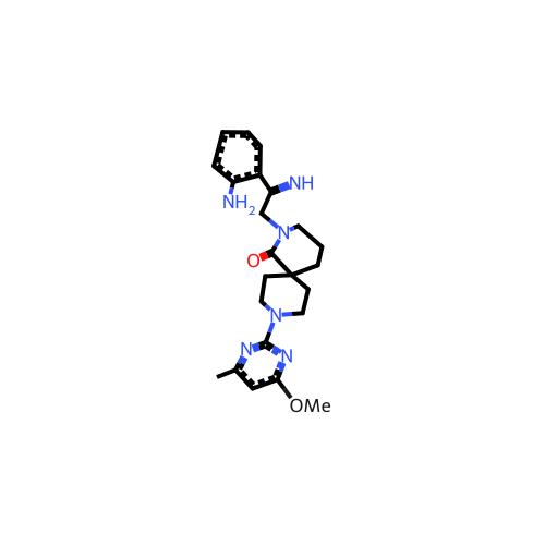 COc1cc(C)nc(N2CCC3(CCCN(CC(=N)c4ccccc4N)C3=O)CC2)n1